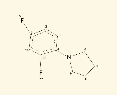 Fc1ccc(N2CCCC2)c(F)c1